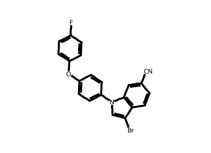 N#Cc1ccc2c(Br)cn(-c3ccc(Oc4ccc(F)cc4)cc3)c2c1